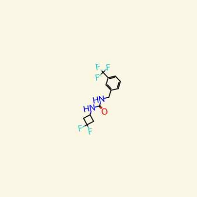 O=C(NCc1cccc(C(F)(F)F)c1)NC1CC(F)(F)C1